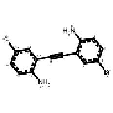 Nc1ccc(Br)cc1C#Cc1cc(Br)ccc1N